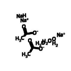 CC(=O)[O-].CC(=O)[O-].O.O.O.[Na+].[Na+].[NaH]